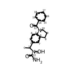 CC(c1ccc2c(c1)CCCN2C(=O)c1ccccc1)N(O)C(N)=O